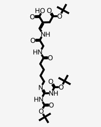 CC(C)(C)OC(=O)C/C(=C\NC(=O)CNC(=O)CCCCN=C(NC(=O)OC(C)(C)C)NC(=O)OC(C)(C)C)C(=O)O